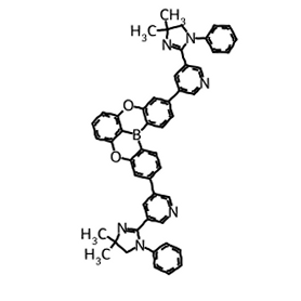 CC1(C)CN(c2ccccc2)C(c2cncc(-c3ccc4c(c3)Oc3cccc5c3B4c3ccc(-c4cncc(C6=NC(C)(C)CN6c6ccccc6)c4)cc3O5)c2)=N1